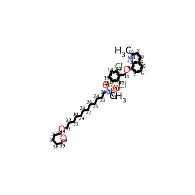 Cc1ccc2cccc(OCc3c(Cl)ccc(S(=O)(=O)N(C)CCCCCCCCCCCCOC4CCCCO4)c3Cl)c2n1